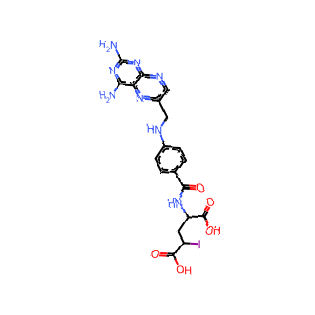 Nc1nc(N)c2nc(CNc3ccc(C(=O)NC(CC(I)C(=O)O)C(=O)O)cc3)cnc2n1